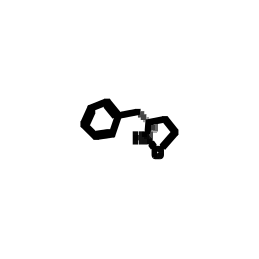 c1ccc(C[C@@H]2CCON2)cc1